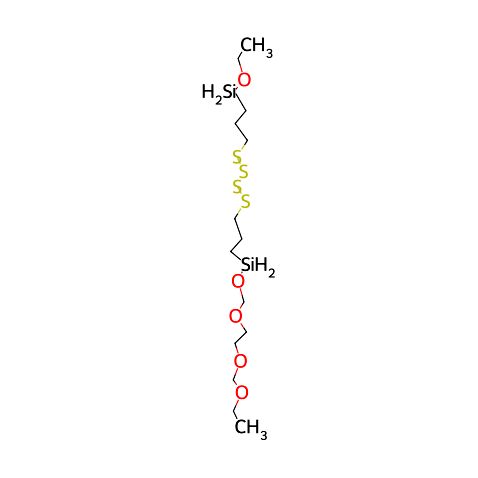 CCOCOCCOCO[SiH2]CCCSSSSCCC[SiH2]OCC